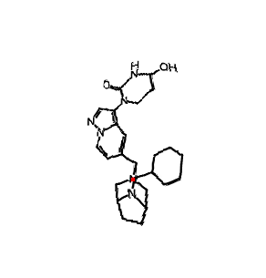 O=C1NC(O)CCN1c1cnn2ccc(CN3CC4CCC(C3)N4CC3CCCCC3)cc12